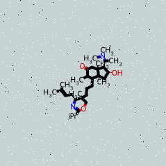 CC(C)=CC[C@@H]1N=C(C(C)C)OC[C@@]1(C)CCCC1C(C)C(=O)C[C@]2(C)[C@@H](C(C)N(C)C)[C@H](O)C[C@@]12C